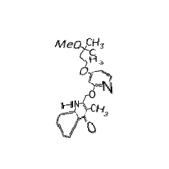 COC(C)(C)CCOc1ccnc(OCc2[nH]c3ccccc3c(=O)c2C)c1